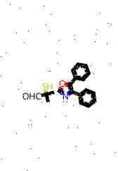 CC(C)(S)C=O.c1ccc(-c2ncoc2-c2ccccc2)cc1